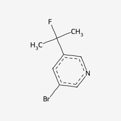 CC(C)(F)c1cncc(Br)c1